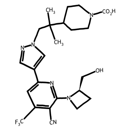 CC(C)(Cn1cc(-c2cc(C(F)(F)F)c(C#N)c(N3CC[C@@H]3CO)n2)cn1)C1CCN(C(=O)O)CC1